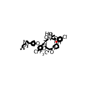 CC(O)[C@@H]1NC(=O)[C@H](C)N(Cc2ccc(Cl)cc2Oc2ccc(-c3cnc(CN(C)C)n3C)cc2)C(=O)C[C@@H](CC(F)(F)F)C(=O)N2CCC[C@@](Cc3ccc(Cl)cc3)(C2)NC1=O